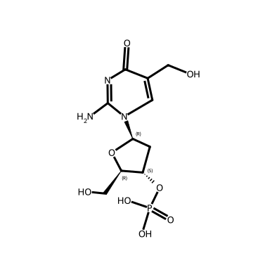 Nc1nc(=O)c(CO)cn1[C@H]1C[C@H](OP(=O)(O)O)[C@@H](CO)O1